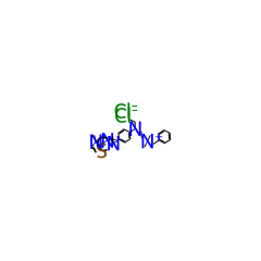 CCN(CC[N+](C)(C)Cc1ccccc1)c1ccc(N=N[c+]2sccn2C)cc1.[Cl-].[Cl-]